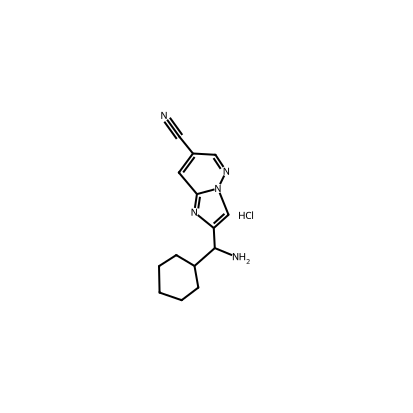 Cl.N#Cc1cnn2cc(C(N)C3CCCCC3)nc2c1